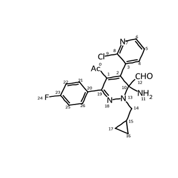 CC(=O)C1=C(c2cccnc2Cl)C(N)(C=O)N(CC2CC2)N=C1c1ccc(F)cc1